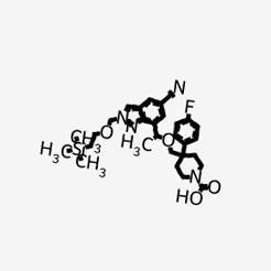 CC(OCC1(c2ccc(F)cc2)CCN(C(=O)O)CC1)c1cc(C#N)cc2cn(COCC[Si](C)(C)C)nc12